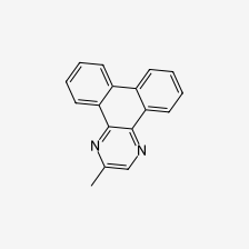 Cc1cnc2c3ccccc3c3ccccc3c2n1